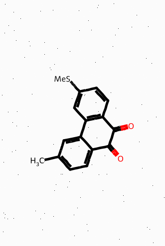 CSc1ccc2c(c1)-c1cc(C)ccc1C(=O)C2=O